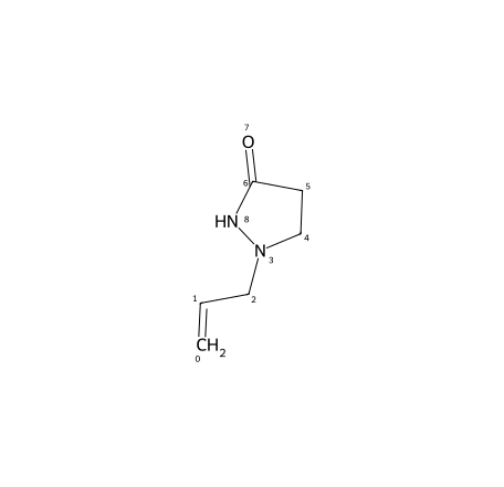 C=CCN1CCC(=O)N1